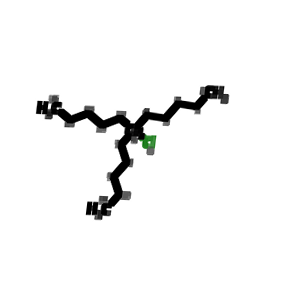 CCCC[CH2][Ge]([Cl])([CH2]CCCC)[CH2]CCCC